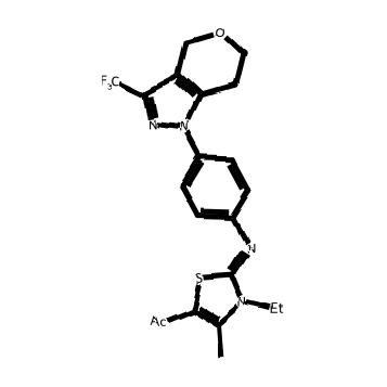 CCn1c(C)c(C(C)=O)s/c1=N\c1ccc(-n2nc(C(F)(F)F)c3c2CCOC3)cc1